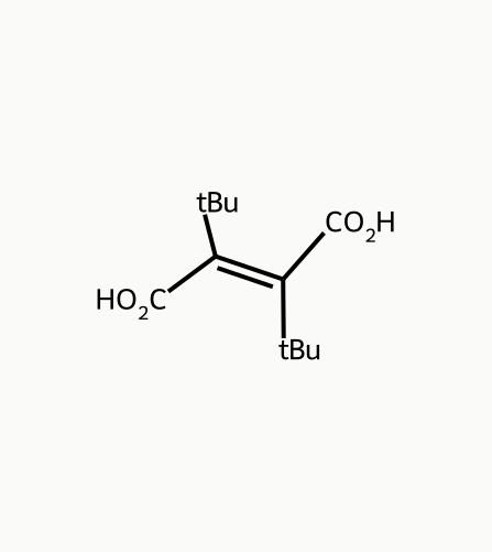 CC(C)(C)/C(C(=O)O)=C(\C(=O)O)C(C)(C)C